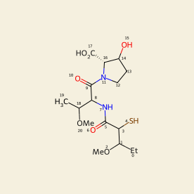 CCC(OC)C(S)C(=O)NC(C(=O)N1CCC(O)[C@H]1C(=O)O)C(C)OC